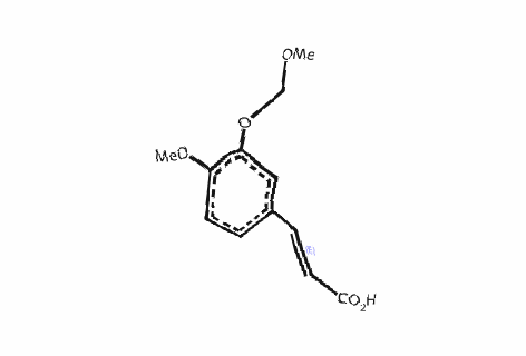 COCOc1cc(/C=C/C(=O)O)ccc1OC